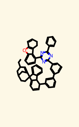 CCC1C=C2CC(CCC23C2=CC=CC(c4cccc(-c5cccc(-c6nc(-c7ccccc7)nc(-c7cccc8oc9c(c78)CCC=C9)n6)c5)c4)C2c2ccccc23)C1